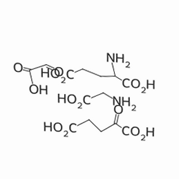 NC(CCC(=O)O)C(=O)O.NCC(=O)O.O=C(O)CCC(=O)C(=O)O.O=CC(=O)O